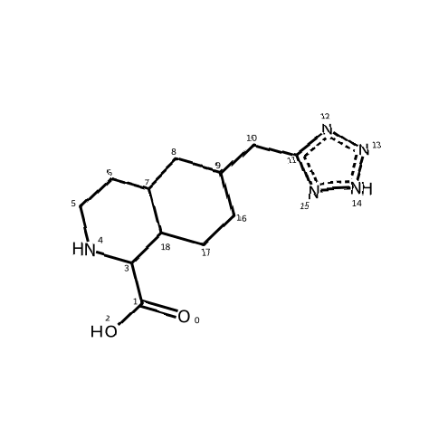 O=C(O)C1NCCC2CC(Cc3nn[nH]n3)CCC21